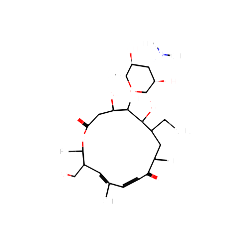 CCC1OC(=O)CC(O)C(C)C(O[C@@H]2O[C@H](C)[C@@H](O)[C@H](N(C)C)[C@H]2O)C(CC=O)CC(C)C(=O)/C=C\C(C)=C\C1CO